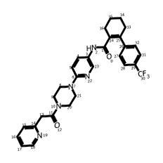 O=C(Nc1ccc(N2CCN(C(=O)Cc3ccccn3)CC2)nc1)C1=C(c2ccc(C(F)(F)F)cc2)CCCC1